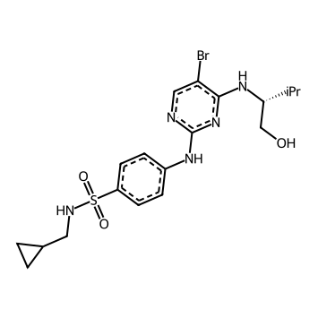 CC(C)[C@H](CO)Nc1nc(Nc2ccc(S(=O)(=O)NCC3CC3)cc2)ncc1Br